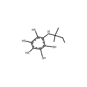 CCC(C)(C)Nc1c(S)c(S)c(S)c(S)c1S